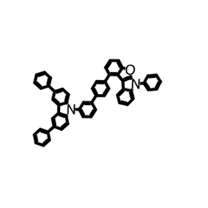 c1ccc(-c2ccc3c(c2)c2cc(-c4ccccc4)ccc2n3-c2cccc(-c3ccc(-c4cccc5oc6c(c7ccccc7n6-c6ccccc6)c45)cc3)c2)cc1